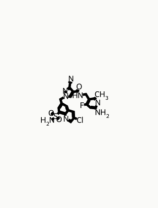 Cc1nc(N)cc(F)c1CNC(=O)c1cn(Cc2cc(S(N)(=O)=O)c3ncc(Cl)cc3c2)nc1C#N